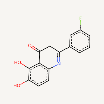 O=C1CC(c2cccc(F)c2)=Nc2ccc(O)c(O)c21